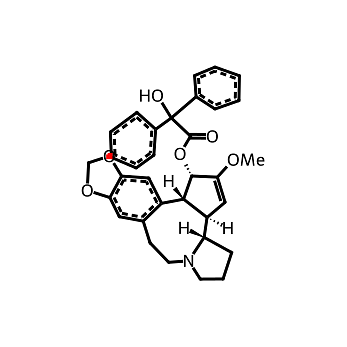 COC1=C[C@@H]2[C@H](c3cc4c(cc3CCN3CCC[C@@H]23)OCO4)[C@@H]1OC(=O)C(O)(c1ccccc1)c1ccccc1